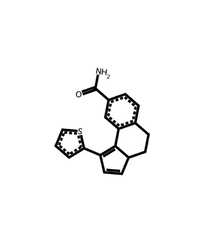 NC(=O)c1ccc2c(c1)C1=C(c3cccs3)C=CC1CC2